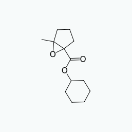 CC12CCCC1(C(=O)OC1CCCCC1)O2